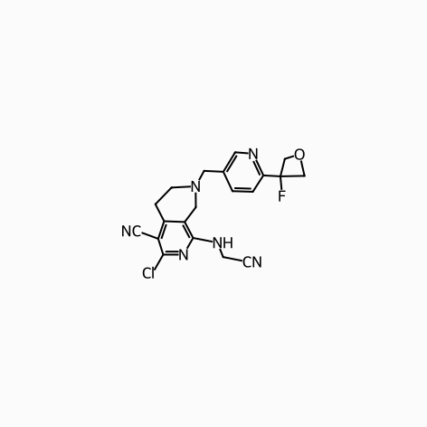 N#CCNc1nc(Cl)c(C#N)c2c1CN(Cc1ccc(C3(F)COC3)nc1)CC2